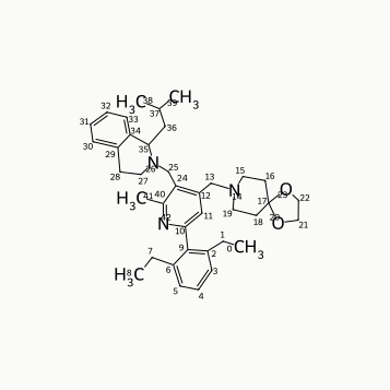 CCc1cccc(CC)c1-c1cc(CN2CCC3(CC2)OCCO3)c(CN2CCc3ccccc3C2CC(C)C)c(C)n1